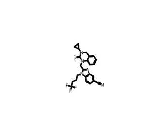 N#Cc1ccc2c(c1)nc(CN1C(=O)N(C3CC3)Cc3ccccc31)n2CCCC(F)(F)F